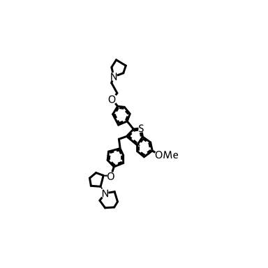 COc1ccc2c(Cc3ccc(O[C@@H]4CCC[C@H]4N4CCCCC4)cc3)c(-c3ccc(OCCN4CCCC4)cc3)sc2c1